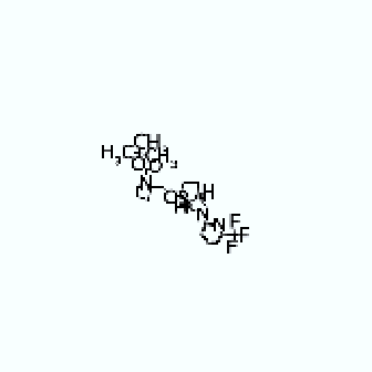 CC(C)(C)OC(=O)N1CCCC1CO[C@H]1CC[C@@H]2CN(c3cccc(C(F)(F)F)n3)C[C@@H]21